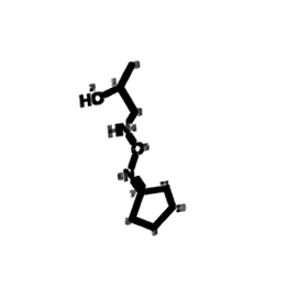 CC(O)CNON=C1CCCC1